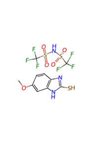 COc1ccc2nc(S)[nH]c2c1.O=S(=O)(NS(=O)(=O)C(F)(F)F)C(F)(F)F